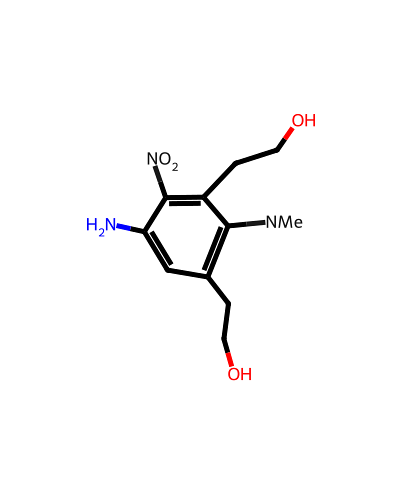 CNc1c(CCO)cc(N)c([N+](=O)[O-])c1CCO